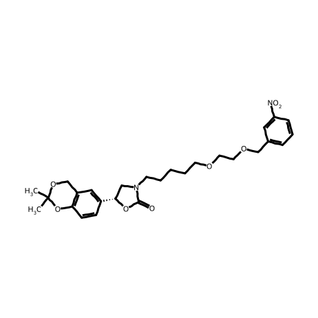 CC1(C)OCc2cc([C@@H]3CN(CCCCCOCCOCc4cccc([N+](=O)[O-])c4)C(=O)O3)ccc2O1